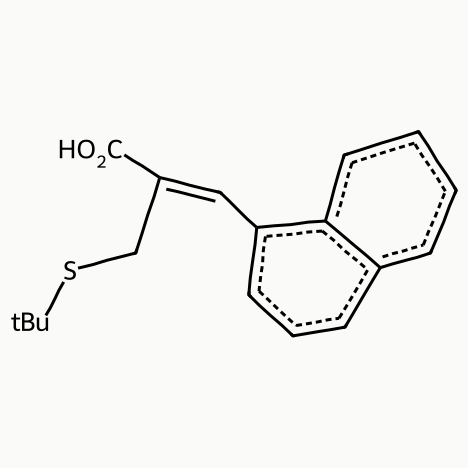 CC(C)(C)SCC(=Cc1cccc2ccccc12)C(=O)O